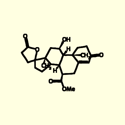 COC(=O)[C@@H]1CC2=CC(=O)CC[C@]2(C)[C@@H]2[C@@H]1C1CCC3(CCC(=O)O3)[C@@]1(C)C[C@H]2O